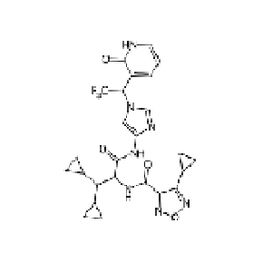 O=C(NC(C(=O)Nc1cn(C(c2ccc[nH]c2=O)C(F)(F)F)cn1)C(C1CC1)C1CC1)c1nonc1C1CC1